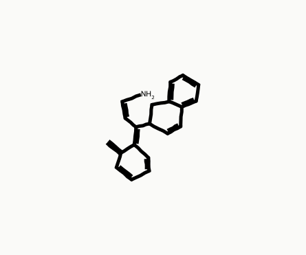 C=c1cccc/c1=C(/C=C\N)C1C=Cc2ccccc2C1